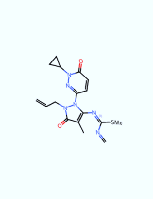 C=CCn1c(=O)c(C)c(/N=C(\N=C)SC)n1-c1ccc(=O)n(C2CC2)n1